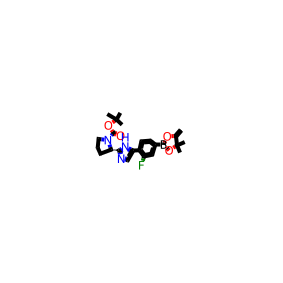 C=C1OB(c2ccc(-c3cnc([C@@H]4CCCN4C(=O)OC(C)(C)C)[nH]3)c(F)c2)OC1(C)C